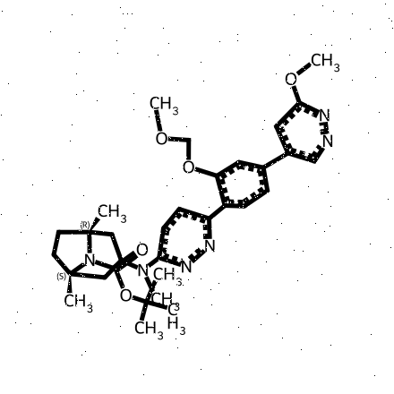 COCOc1cc(-c2cnnc(OC)c2)ccc1-c1ccc(N(C)C2C[C@]3(C)CC[C@](C)(C2)N3C(=O)OC(C)(C)C)nn1